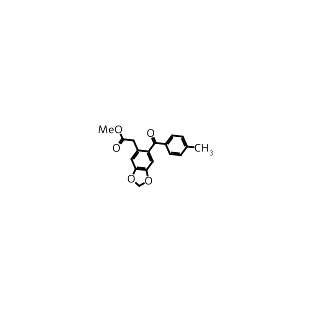 COC(=O)Cc1cc2c(cc1C(=O)c1ccc(C)cc1)OCO2